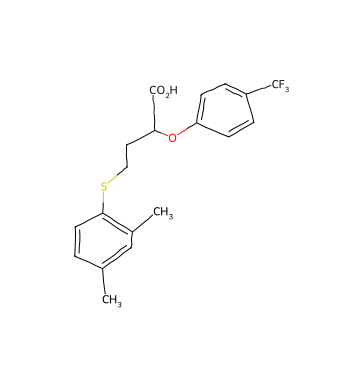 Cc1ccc(SCCC(Oc2ccc(C(F)(F)F)cc2)C(=O)O)c(C)c1